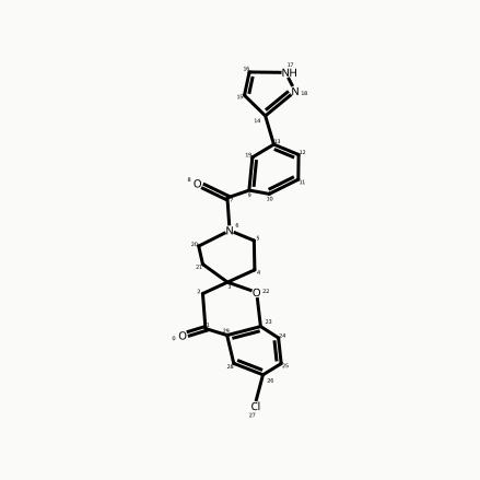 O=C1CC2(CCN(C(=O)c3cccc(-c4cc[nH]n4)c3)CC2)Oc2ccc(Cl)cc21